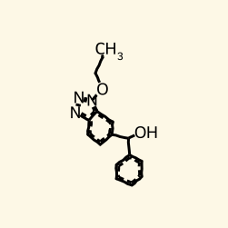 CCCOn1nnc2ccc(C(O)c3ccccc3)cc21